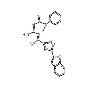 C=C(/N=C(N)\N=C(/N)c1noc(-c2cc3ccccc3o2)n1)N(C)c1ccccc1